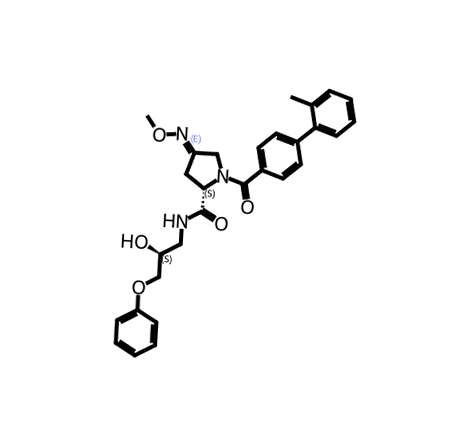 CO/N=C1\C[C@@H](C(=O)NC[C@H](O)COc2ccccc2)N(C(=O)c2ccc(-c3ccccc3C)cc2)C1